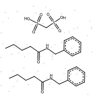 CCCCC(=O)NCc1ccccc1.CCCCC(=O)NCc1ccccc1.O=S(=O)(O)CS(=O)(=O)O